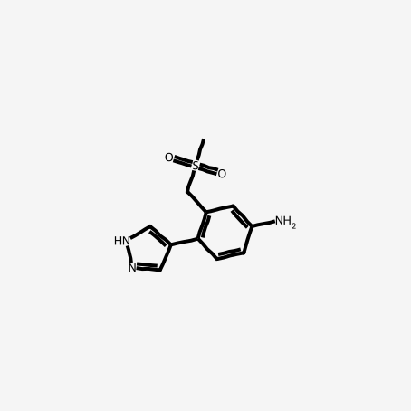 CS(=O)(=O)Cc1cc(N)ccc1-c1cn[nH]c1